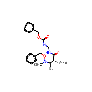 CCCCC[C@@H](C(=O)NCNC(=O)OCc1ccccc1)[C@@H](CC)N(C=O)OCc1ccccc1